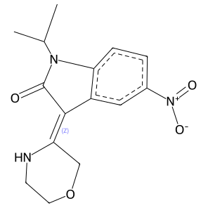 CC(C)N1C(=O)/C(=C2/COCCN2)c2cc([N+](=O)[O-])ccc21